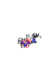 CCN1C(=O)/C(=c2\s/c(=c3/s/c(=C/c4ccc5c(c4)C4CCCC4N5c4ccc5c(c4)-c4ccccc4C5(C)C)c(=O)n3COC=O)c(=O)n2CC)SC1=S